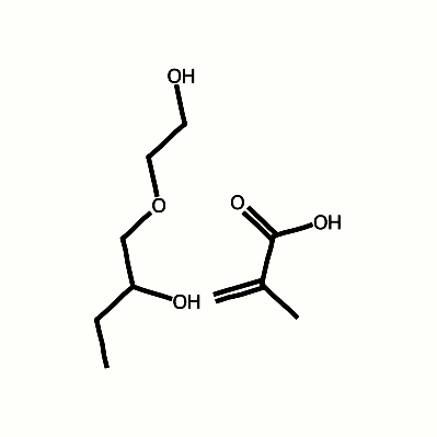 C=C(C)C(=O)O.CCC(O)COCCO